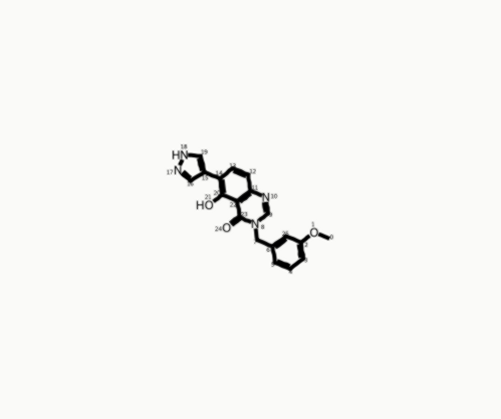 COc1cccc(Cn2cnc3ccc(-c4cn[nH]c4)c(O)c3c2=O)c1